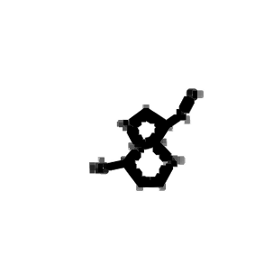 O=Nc1cnn2c(O)ccnc12